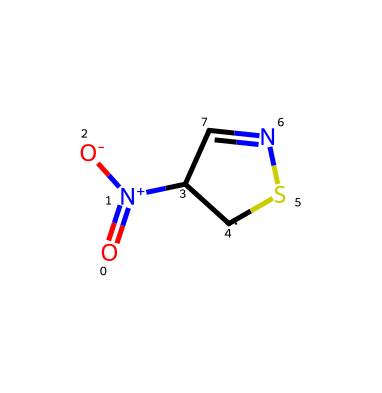 O=[N+]([O-])C1[CH]SN=C1